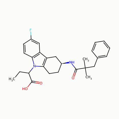 CCC(C(=O)O)n1c2c(c3cc(F)ccc31)C[C@@H](NC(=O)C(C)(C)Cc1ccccc1)CC2